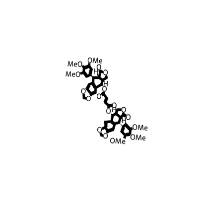 COc1cc([C@@H]2c3cc4c(cc3[C@H](OC(=O)/C=C/C(=O)O[C@H]3c5cc6c(cc5[C@@H](c5cc(OC)c(OC)c(OC)c5)[C@@H]5C(=O)OC[C@@H]53)OCO6)[C@H]3COC(=O)[C@@H]23)OCO4)cc(OC)c1OC